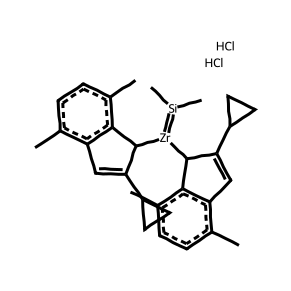 Cc1ccc(C)c2c1C=C(C1CC1)[CH]2[Zr]([CH]1C(C2CC2)=Cc2c(C)ccc(C)c21)=[Si](C)C.Cl.Cl